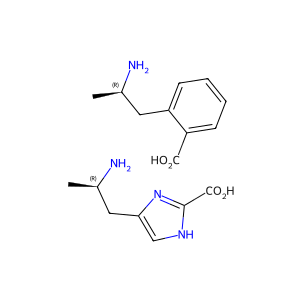 C[C@@H](N)Cc1c[nH]c(C(=O)O)n1.C[C@@H](N)Cc1ccccc1C(=O)O